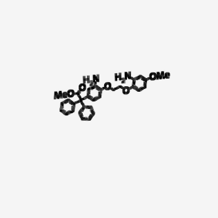 COC(=O)C(c1ccccc1)(c1ccccc1)c1ccc(OCCOc2ccc(OC)cc2N)c(N)c1